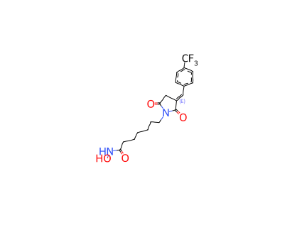 O=C(CCCCCCN1C(=O)C/C(=C\c2ccc(C(F)(F)F)cc2)C1=O)NO